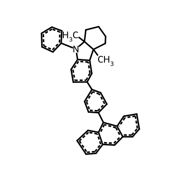 CC12CCCCC1(C)N(c1ccccc1)c1ccc(-c3ccc(-c4c5ccccc5cc5ccccc45)cc3)cc12